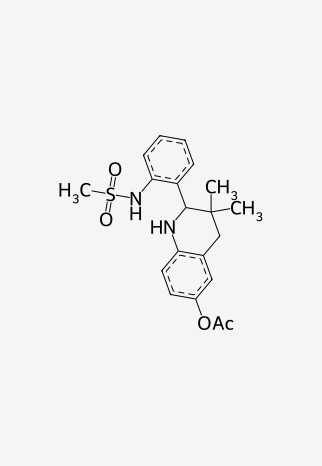 CC(=O)Oc1ccc2c(c1)CC(C)(C)C(c1ccccc1NS(C)(=O)=O)N2